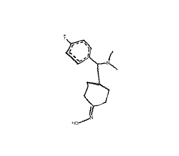 CN(C)C(c1ccc(F)cc1)C1CCC(=NO)CC1